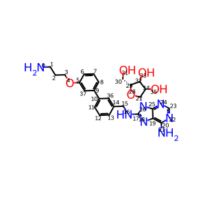 NCCCOc1cccc(-c2cccc(CNc3nc4c(N)ncnc4n3[C@@H]3O[C@H](CO)[C@@H](O)[C@H]3O)c2)c1